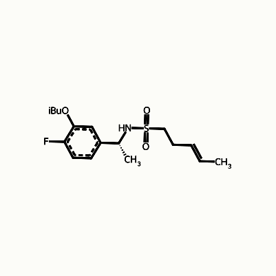 C/C=C/CCS(=O)(=O)N[C@H](C)c1ccc(F)c(OCC(C)C)c1